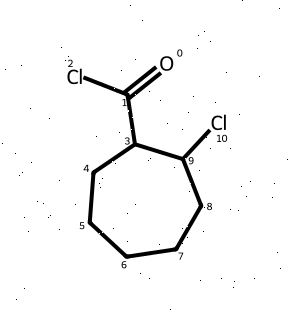 O=C(Cl)C1CCCCCC1Cl